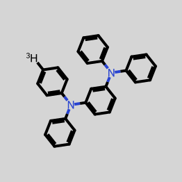 [3H]c1ccc(N(c2ccccc2)c2cccc(N(c3ccccc3)c3ccccc3)c2)cc1